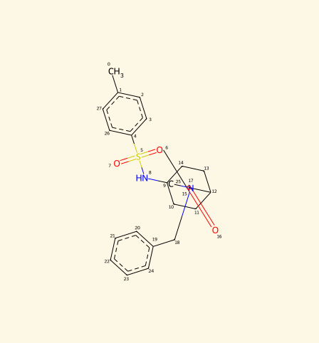 Cc1ccc(S(=O)(=O)NC23CCC(CC2)C(=O)N(Cc2ccccc2)C3)cc1